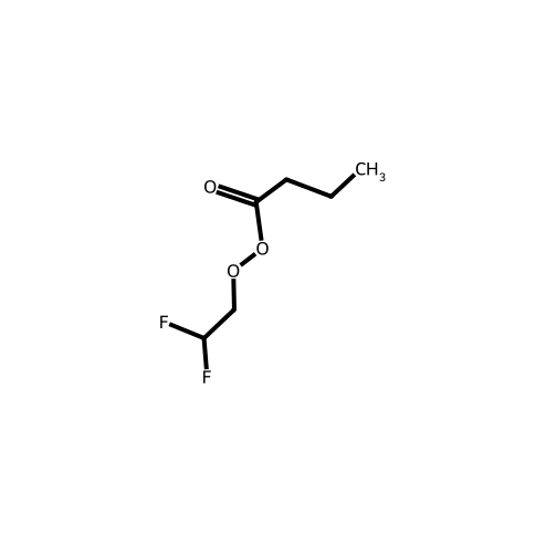 CCCC(=O)OOCC(F)F